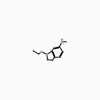 CCON1CCc2ccc(NC)cc21